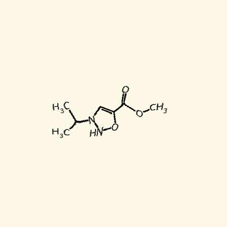 COC(=O)C1=CN(C(C)C)NO1